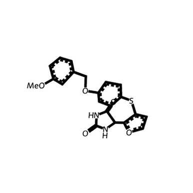 COc1cccc(COc2ccc(Sc3ccoc3C3NC(=O)NC3=O)cc2)c1